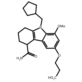 COc1cc(OCCC(=O)O)cc2c3c(n(CC4CCCC4)c12)CCCC3C(N)=O